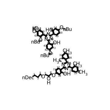 CCCCCCCCCCCCCOCC(O)COc1ccc(-c2nc(-c3ccc(C)cc3C)nc(-c3ccc(C)cc3C)n2)c(O)c1.CCCCOc1ccc(-c2nc(-c3ccc(OCCCC)cc3O)nc(-c3ccc(OCCCC)cc3OCCCC)n2)c(O)c1